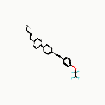 CCCC[C@H]1CC[C@H]([C@H]2CC[C@H](C#Cc3ccc(OC(F)(F)C(F)F)cc3)CC2)CC1